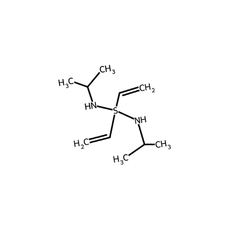 C=CS(C=C)(NC(C)C)NC(C)C